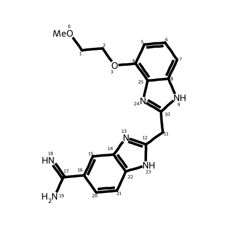 COCCOc1cccc2[nH]c(Cc3nc4cc(C(=N)N)ccc4[nH]3)nc12